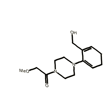 COCC(=O)N1CCN(C2=CC[CH]C=C2CO)CC1